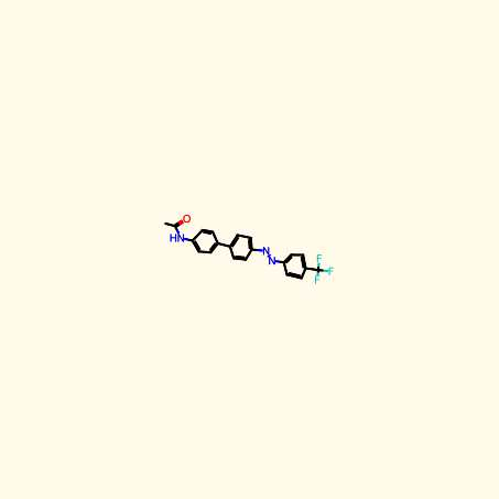 CC(=O)Nc1ccc(-c2ccc(N=Nc3ccc(C(F)(F)F)cc3)cc2)cc1